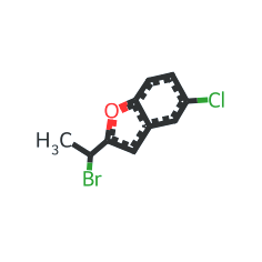 CC(Br)c1cc2cc(Cl)ccc2o1